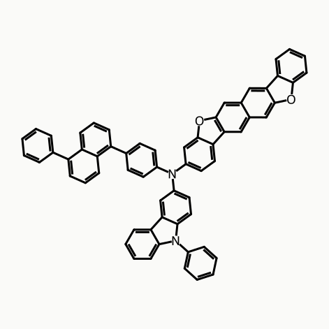 c1ccc(-c2cccc3c(-c4ccc(N(c5ccc6c(c5)oc5cc7cc8c(cc7cc56)oc5ccccc58)c5ccc6c(c5)c5ccccc5n6-c5ccccc5)cc4)cccc23)cc1